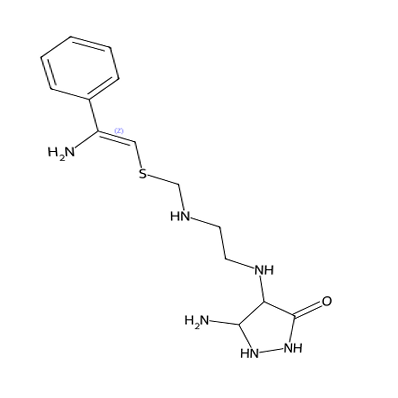 N/C(=C\SCNCCNC1C(=O)NNC1N)c1ccccc1